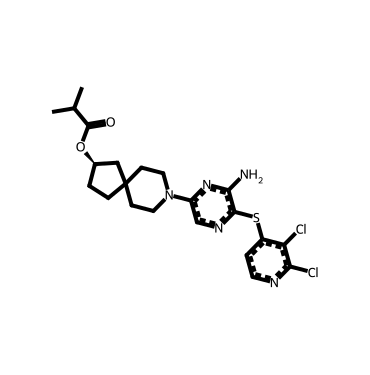 CC(C)C(=O)O[C@@H]1CCC2(CCN(c3cnc(Sc4ccnc(Cl)c4Cl)c(N)n3)CC2)C1